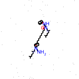 CC(C)=CCC/C(C)=C/CN(CCNC1C2CC3CC(C2)CC1C3)C(=O)CCCCCCCCCCC1C2CC3CC1CC(C2)C3N(C/C=C(\C)CCC=C(C)C)CCN